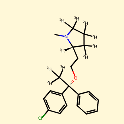 [2H]C1([2H])N(C)[C@@]([2H])(CCO[C@](c2ccccc2)(c2ccc(Cl)cc2)C([2H])([2H])[2H])C([2H])([2H])C1([2H])[2H]